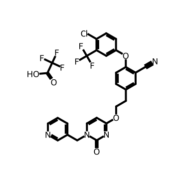 N#Cc1cc(CCOc2ccn(Cc3cccnc3)c(=O)n2)ccc1Oc1ccc(Cl)c(C(F)(F)F)c1.O=C(O)C(F)(F)F